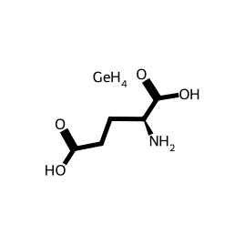 N[C@@H](CCC(=O)O)C(=O)O.[GeH4]